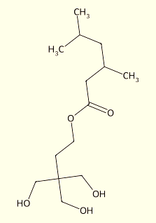 CC(C)CC(C)CC(=O)OCCC(CO)(CO)CO